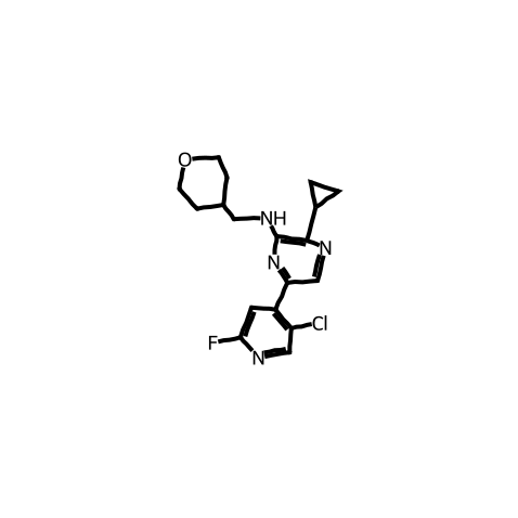 Fc1cc(-c2cnc(C3CC3)c(NCC3CCOCC3)n2)c(Cl)cn1